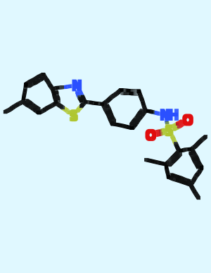 Cc1cc(C)c(S(=O)(=O)Nc2ccc(-c3nc4ccc(C)cc4s3)cc2)c(C)c1